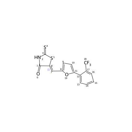 O=C1NC(=S)S/C1=C\c1ccc(-c2ccccc2C(F)(F)F)o1